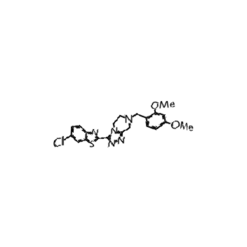 COc1ccc(CN2CCn3c(nnc3-c3nc4ccc(Cl)cc4s3)C2)c(OC)c1